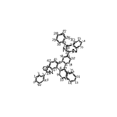 c1ccc(-c2nc3c(-c4ccc5ccccc5c4-c4ccc(-c5nc(-c6ccccc6)c6ccccc6n5)cc4)cccc3o2)cc1